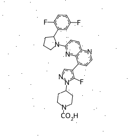 O=C(O)N1CCC(n2ncc(-c3ccnc4ccc(N5CCCC5c5cc(F)ccc5F)nc34)c2F)CC1